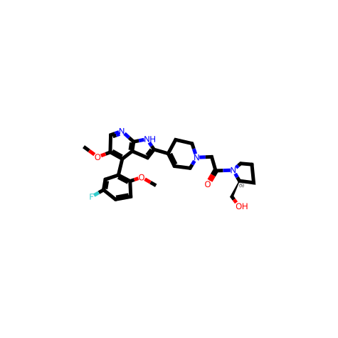 COc1ccc(F)cc1-c1c(OC)cnc2[nH]c(C3=CCN(CC(=O)N4CCC[C@H]4CO)CC3)cc12